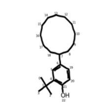 CC(C)(C)c1cc(C2CCCCCCCCCCC2)ccc1O